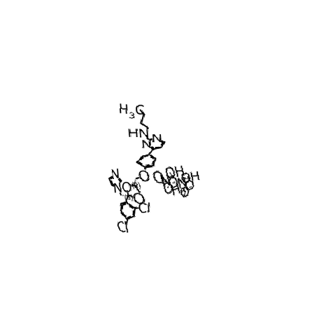 CCCCNc1nccc(-c2ccc(OC[C@@H]3CO[C@@](Cn4ccnc4)(c4ccc(Cl)cc4Cl)O3)cc2)n1.O.O=[N+]([O-])O.O=[N+]([O-])O